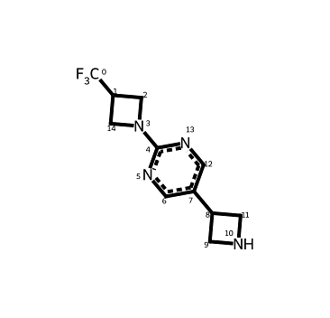 FC(F)(F)C1CN(c2ncc(C3CNC3)cn2)C1